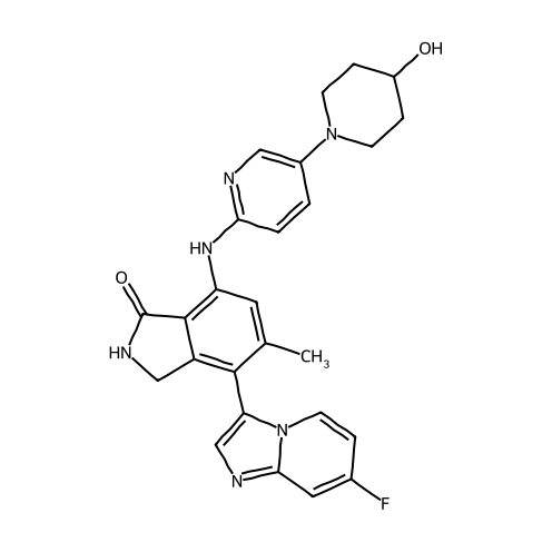 Cc1cc(Nc2ccc(N3CCC(O)CC3)cn2)c2c(c1-c1cnc3cc(F)ccn13)CNC2=O